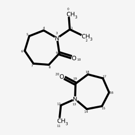 CC(C)N1CCCCCC1=O.CCN1CCCCCC1=O